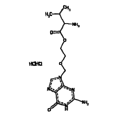 CC(C)C(N)C(=O)OCCOCn1cnc2c(=O)[nH]c(N)nc21.Cl.Cl